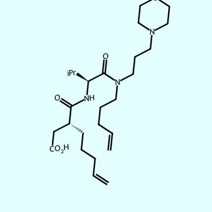 C=CCCC[C@H](CC(=O)O)C(=O)N[C@H](C(=O)N(CCCC=C)CCCN1CCOCC1)C(C)C